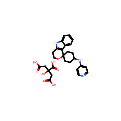 O=C(O)CC(O)(CC(=O)O)C(=O)O.c1ccc2c3c([nH]c2c1)CCOC31CCC(Nc2ccncc2)CC1